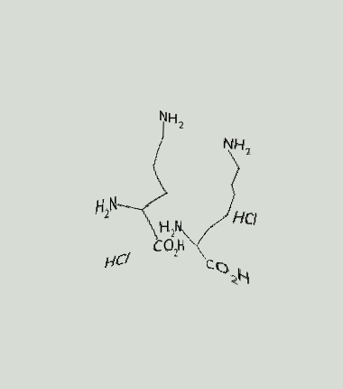 Cl.Cl.NCCCC(N)C(=O)O.NCCCC(N)C(=O)O